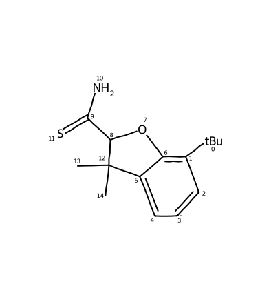 CC(C)(C)c1c[c]cc2c1OC(C(N)=S)C2(C)C